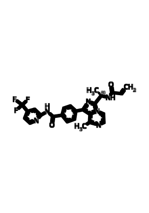 C=CC(=O)N[C@@H](C)c1nc(-c2ccc(C(=O)Nc3cc(C(F)(F)F)ccn3)cc2)c2c(C)nccn12